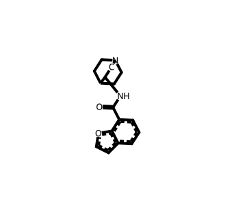 O=C(NC1CN2CCC1CC2)c1cccc2ccoc12